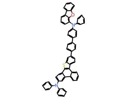 c1ccc(N(c2ccccc2)c2ccc3c(c2)c2ccccc2c2c4ccc(-c5ccc(-c6ccc(N(c7ccccc7)c7cccc8c7oc7ccccc78)cc6)cc5)cc4sc32)cc1